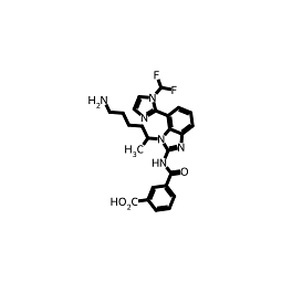 CC(CCCCN)n1c(NC(=O)c2cccc(C(=O)O)c2)nc2cccc(-c3nccn3C(F)F)c21